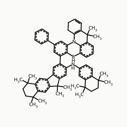 CC1(C)CCC(C)(C)c2cc(Nc3cc4c(cc3-c3cc(-c5ccccc5)cc5c3Bc3cccc6c3N5C3=C(C=CCC3)C6(C)C)-c3cc5c(cc3C4(C)C)C(C)(C)CCC5(C)C)ccc21